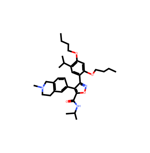 CCCCOc1cc(OCCCC)c(C(C)C)cc1-c1noc(C(=O)NC(C)C)c1-c1ccc2c(c1)CCN(C)C2